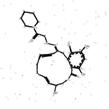 O=C1OCC(O)/C=C/CC/C=C/C(=N\OCC(=O)N2CCCCC2)Cc2c(Cl)c(O)cc(O)c21